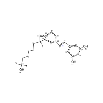 COC(C)(CCCCCC(C)(C)O)c1cccc(/C=C/c2cc(O)cc(O)c2)c1